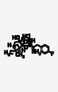 CC1(C)[C@@H]2C[C@H]1[C@@](C)(OB(O)[C@H](N)Cc1ccc(F)cc1)[C@@H](O)C2.Cl